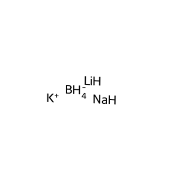 [BH4-].[K+].[LiH].[NaH]